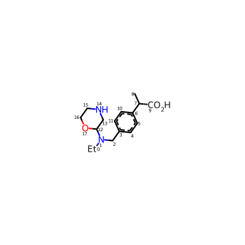 CCN(Cc1ccc(C(C)C(=O)O)cc1)C1CNCCO1